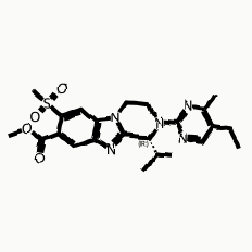 CCc1cnc(N2CCn3c(nc4cc(C(=O)OC)c(S(C)(=O)=O)cc43)[C@H]2C(C)C)nc1C